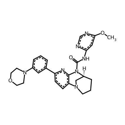 COc1cc(NC(=O)N2c3nc(-c4cccc(N5CCOCC5)c4)ccc3N3CCC[C@H]2C3)ncn1